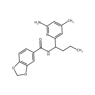 CCCC(NC(=O)c1ccc2c(c1)OCO2)c1cc(C)cc(N)n1